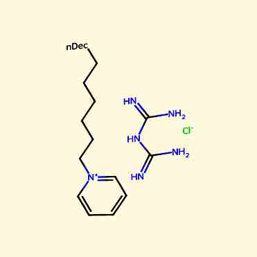 CCCCCCCCCCCCCCCC[n+]1ccccc1.N=C(N)NC(=N)N.[Cl-]